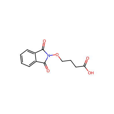 O=C(O)CCCON1C(=O)c2ccccc2C1=O